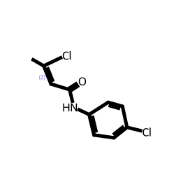 C/C(Cl)=C/C(=O)Nc1ccc(Cl)cc1